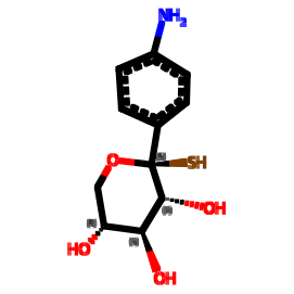 Nc1ccc([C@@]2(S)OC[C@@H](O)[C@H](O)[C@H]2O)cc1